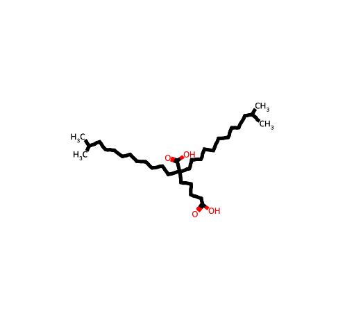 CC(C)CCCCCCCCCCC(CCCCCCCCCCC(C)C)(CCCCC(=O)O)C(=O)O